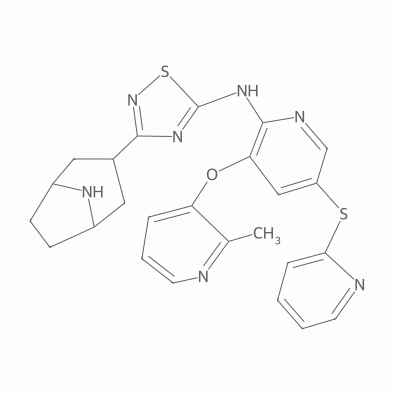 Cc1ncccc1Oc1cc(Sc2ccccn2)cnc1Nc1nc(C2CC3CCC(C2)N3)ns1